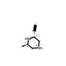 C#C[C@@H]1CNC[C@@H](C)N1